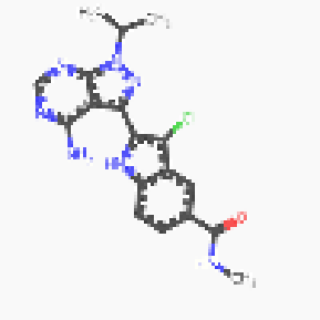 CNC(=O)c1ccc2[nH]c(-c3nn(C(C)C)c4ncnc(N)c34)c(Cl)c2c1